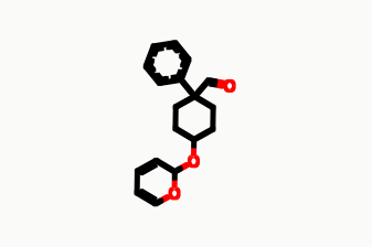 O=CC1(c2ccccc2)CCC(OC2C=CC=CO2)CC1